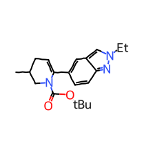 CCn1cc2cc(C3=CCC(C)CN3C(=O)OC(C)(C)C)ccc2n1